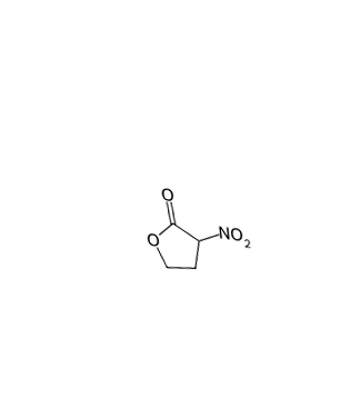 O=C1OCCC1[N+](=O)[O-]